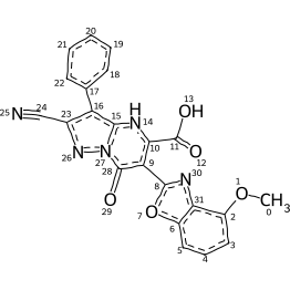 COc1cccc2oc(-c3c(C(=O)O)[nH]c4c(-c5ccccc5)c(C#N)nn4c3=O)nc12